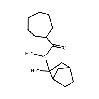 CN(C(=O)C1CCCCCC1)C1(C)CC2CCC1C2